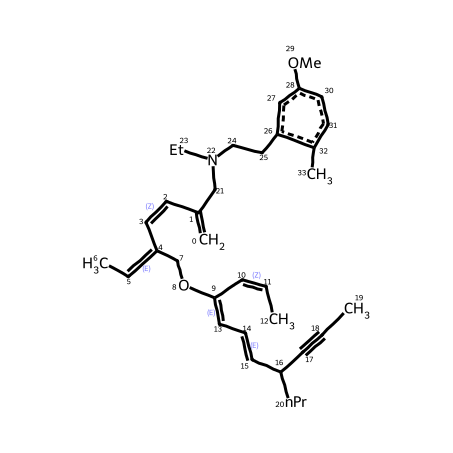 C=C(/C=C\C(=C/C)COC(/C=C\C)=C/C=C/C(C#CC)CCC)CN(CC)CCc1cc(OC)ccc1C